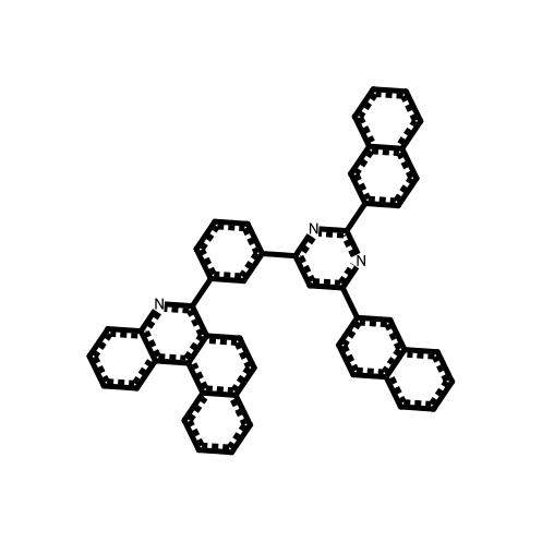 c1cc(-c2cc(-c3ccc4ccccc4c3)nc(-c3ccc4ccccc4c3)n2)cc(-c2nc3ccccc3c3c2ccc2ccccc23)c1